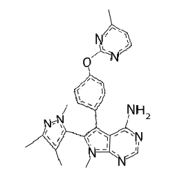 Cc1ccnc(Oc2ccc(-c3c(-c4c(C)c(C)nn4C)n(C)c4ncnc(N)c34)cc2)n1